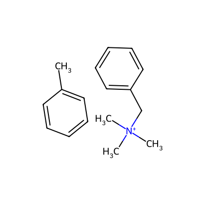 C[N+](C)(C)Cc1ccccc1.Cc1ccccc1